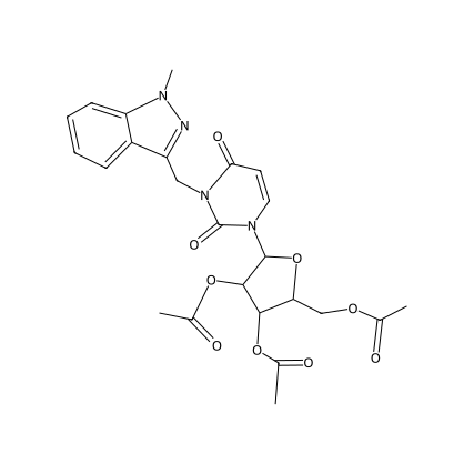 CC(=O)OCC1OC(n2ccc(=O)n(Cc3nn(C)c4ccccc34)c2=O)C(OC(C)=O)C1OC(C)=O